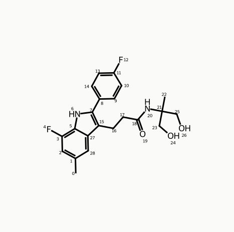 Cc1cc(F)c2[nH]c(-c3ccc(F)cc3)c(CCC(=O)NC(C)(CO)CO)c2c1